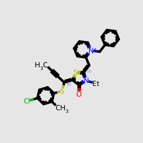 CC#C/C(Sc1ccc(Cl)cc1C)=c1\s/c(=C\c2cccc[n+]2Cc2ccccc2)n(CC)c1=O